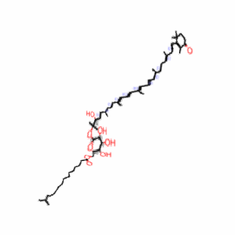 CC1=C(/C=C/C(C)=C/C=C/C(C)=C/C=C/C=C(C)/C=C/C=C(C)/C=C/C=C(C)/C=C/[C@H](O)C(C)(C)O[C@@H]2O[C@H](COC(=O)CCCCCCCCCCCC(C)C)[C@@H](O)[C@H](O)[C@H]2O)C(C)(C)CCC1=O